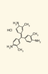 CC1=CC(=C(c2ccc(N)c(C)c2)c2ccc(N)c(C)c2)C=CC1N.Cl